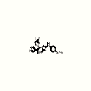 CSN1CCC(Nc2nc3cnc(-c4cn[nH]c4)c(N4CCC(F)(F)C4)n3n2)CC1